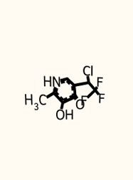 Cc1[nH]cc(C(Cl)C(F)(F)F)c(=O)c1O